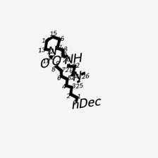 CCCCCCCCCCCCCCCCCCOC(=O)N1CCCCC1CCNCCCN(C)C